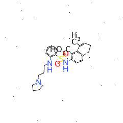 CC1=CCCc2ccc(NS(=O)(=O)c3ccccc3NCCCN3CCCC3)c(C(=O)O)c21